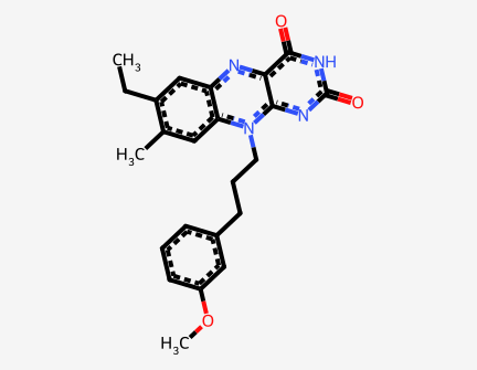 CCc1cc2nc3c(=O)[nH]c(=O)nc-3n(CCCc3cccc(OC)c3)c2cc1C